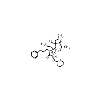 CCCC(C=O)(C[C@](C)(CCC)[C@H](CCCc1ccccc1)C(=O)NOC1CCCCO1)C(=O)[C@@H](C)N